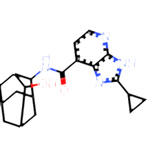 O=C(NC1C2CC3CC(C2)C(O)C1C3)c1ccnc2[nH]c(C3CC3)nc12